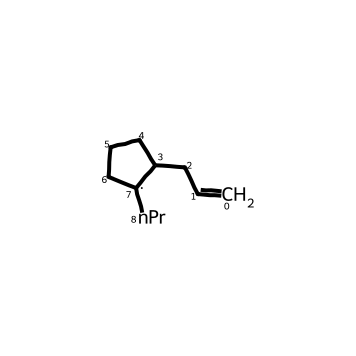 C=CCC1CCC[C]1CCC